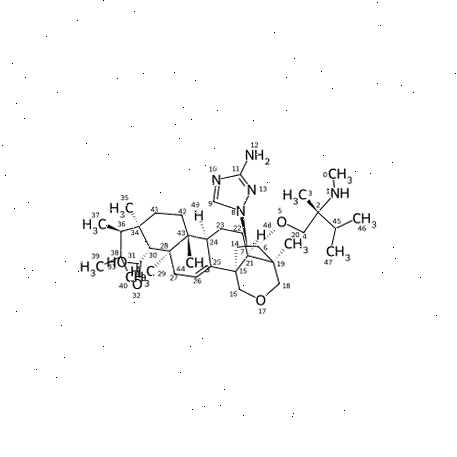 CN[C@@](C)(CO[C@H]1[C@H](n2cnc(N)n2)C[C@@]23COC[C@@]1(C)[C@@H]2CC[C@H]1C3=CC[C@@]2(C)[C@H](C(=O)O)[C@@](C)([C@H](C)C(C)C)CC[C@]12C)C(C)C